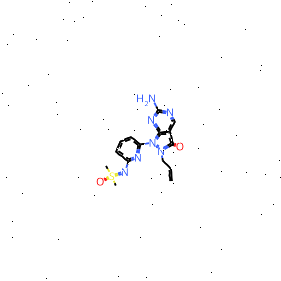 C=CCn1c(=O)c2cnc(N)nc2n1-c1cccc(N=S(C)(C)=O)n1